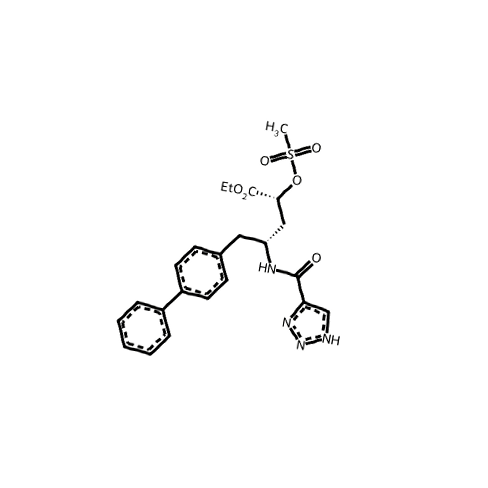 CCOC(=O)[C@@H](C[C@@H](Cc1ccc(-c2ccccc2)cc1)NC(=O)c1c[nH]nn1)OS(C)(=O)=O